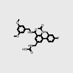 COc1cc(CNC(=O)c2cc(CNC(=O)O)cc(-c3ccc(F)cc3C)c2NC(C)=O)cc(OC)c1